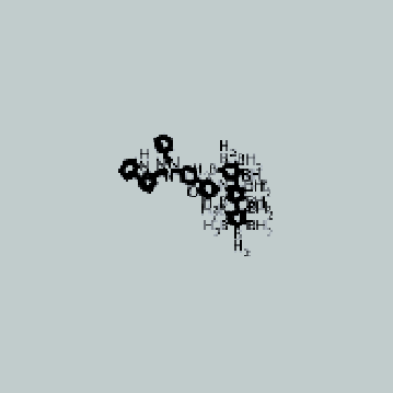 Bc1c(B)c(B)c(-c2c(B)c(B)c3c4c(B)c(B)c(B)c(B)c4n(-c4ccc5oc6cc(-c7nc(-c8ccccc8)nc(-c8cccc9c8[nH]c8ccccc89)n7)ccc6c5c4)c3c2B)c(B)c1B